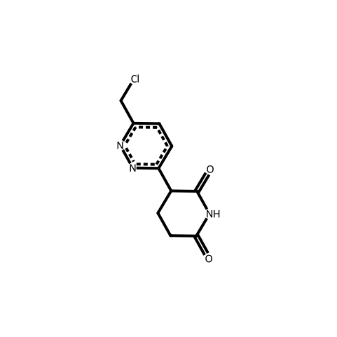 O=C1CCC(c2ccc(CCl)nn2)C(=O)N1